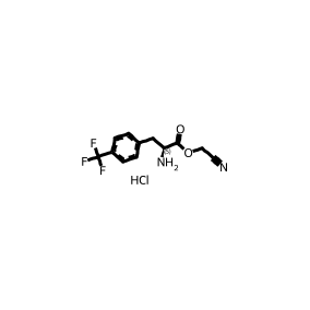 Cl.N#CCOC(=O)[C@@H](N)Cc1ccc(C(F)(F)F)cc1